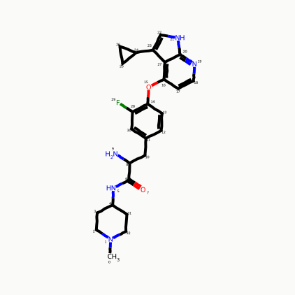 CN1CCC(NC(=O)C(N)Cc2ccc(Oc3ccnc4[nH]cc(C5CC5)c34)c(F)c2)CC1